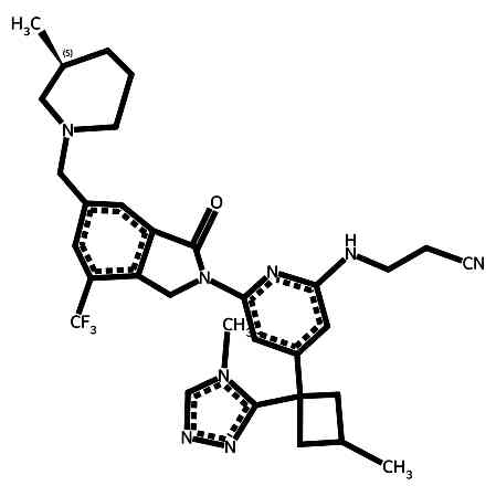 CC1CC(c2cc(NCCC#N)nc(N3Cc4c(cc(CN5CCC[C@H](C)C5)cc4C(F)(F)F)C3=O)c2)(c2nncn2C)C1